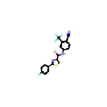 N#Cc1ccc(NC(=O)C2CSC(c3ccc(F)cc3)=N2)cc1C(F)(F)F